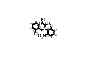 CCC(=O)C(=O)N(Cc1ccccc1Cl)c1c(Cl)cccc1[N+](=O)[O-]